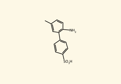 Cc1ccc(N)c(-c2ccc(S(=O)(=O)O)cc2)c1